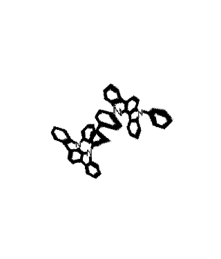 C1=Cc2c(n(-c3ccc(-c4ccc(-n5c6ccccc6c6ccc7c8c(n(-c9ccccc9)c7c65)CCC=C8)cc4)cc3)c3c4c(ccc23)N(c2ccccc2)C2C=CCCC42)CC1